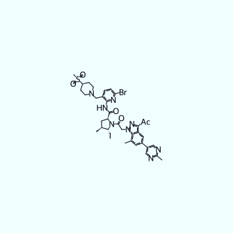 CC(=O)c1nn(CC(=O)N2[C@H](I)[C@@H](C)C[C@H]2C(=O)Nc2nc(Br)ccc2CN2CCC(S(C)(=O)=O)CC2)c2c(C)cc(-c3cnc(C)nc3)cc12